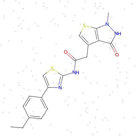 CCc1ccc(-c2csc(NC(=O)Cc3csc4c3c(=O)[nH]n4C)n2)cc1